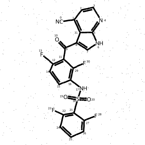 N#Cc1ccnc2[nH]cc(C(=O)c3c(F)ccc(NS(=O)(=O)c4c(F)cccc4F)c3F)c12